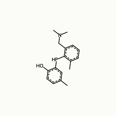 Cc1ccc(O)c(Pc2c(C)cccc2CN(C)C)c1